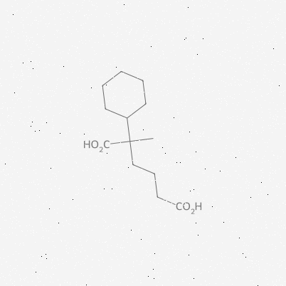 CC(CCCC(=O)O)(C(=O)O)C1CCCCC1